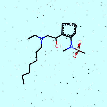 CCCCCCCN(CC)CC(O)c1ccccc1N(C)S(C)(=O)=O